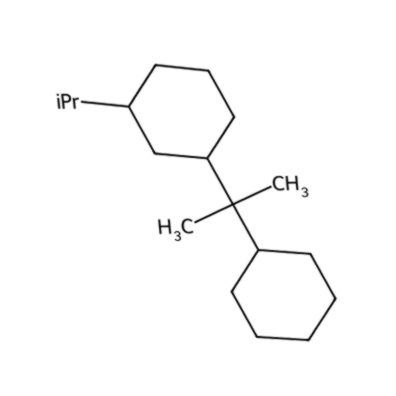 CC(C)C1CCCC(C(C)(C)C2CCCCC2)C1